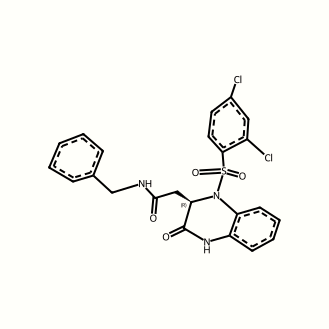 O=C(C[C@@H]1C(=O)Nc2ccccc2N1S(=O)(=O)c1ccc(Cl)cc1Cl)NCc1ccccc1